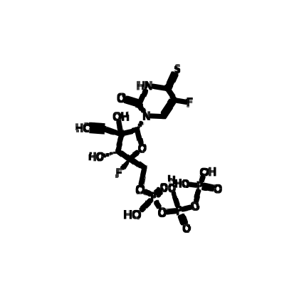 C#CC1(O)[C@@H](O)[C@@](F)(COP(=O)(O)OP(=O)(O)OP(=O)(O)O)O[C@H]1n1cc(F)c(=S)[nH]c1=O